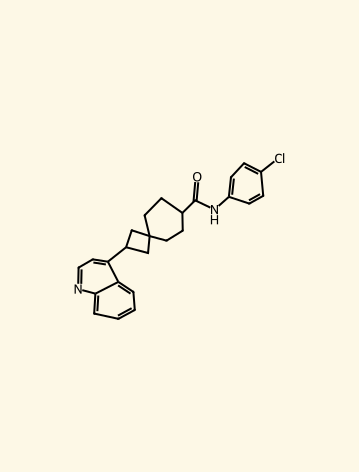 O=C(Nc1ccc(Cl)cc1)C1CCC2(CC1)CC(c1ccnc3ccccc13)C2